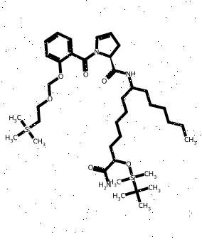 CCCCCCC(CCCCCC(O[Si](C)(C)C(C)(C)C)C(N)=O)NC(=O)[C@@H]1CC=CN1C(=O)c1ccccc1OCOCC[Si](C)(C)C